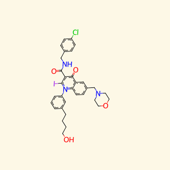 O=C(NCc1ccc(Cl)cc1)c1c(I)n(-c2cccc(CCCCO)c2)c2ccc(CN3CCOCC3)cc2c1=O